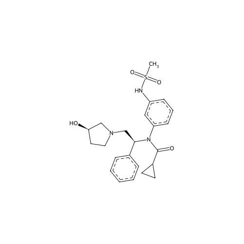 CS(=O)(=O)Nc1cccc(N(C(=O)C2CC2)[C@H](CN2CC[C@@H](O)C2)c2ccccc2)c1